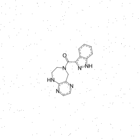 O=C(c1n[nH]c2ccccc12)N1CCNc2nccnc2C1